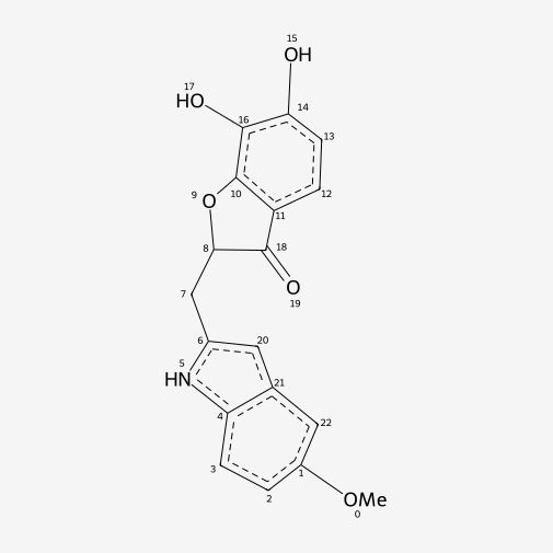 COc1ccc2[nH]c(CC3Oc4c(ccc(O)c4O)C3=O)cc2c1